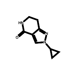 O=C1NCCc2nn(C3CC3)cc21